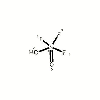 O=S(O)(F)(F)F